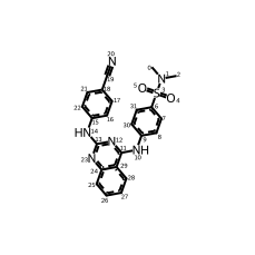 CN(C)S(=O)(=O)c1ccc(Nc2nc(Nc3ccc(C#N)cc3)nc3ccccc23)cc1